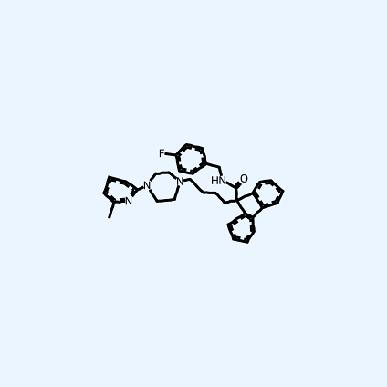 Cc1cccc(N2CCN(CCCCC3(C(=O)NCc4ccc(F)cc4)c4ccccc4-c4ccccc43)CC2)n1